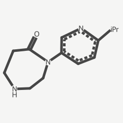 CC(C)c1ccc(N2CCNCCC2=O)cn1